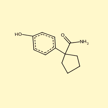 NC(=O)C1(c2ccc(O)cc2)CCCC1